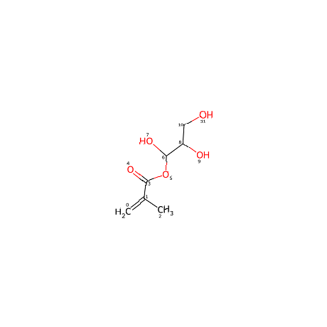 C=C(C)C(=O)OC(O)C(O)CO